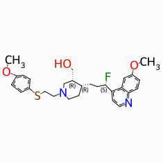 COc1ccc(SCCN2CC[C@@H](CC[C@H](F)c3ccnc4ccc(OC)cc34)[C@@H](CO)C2)cc1